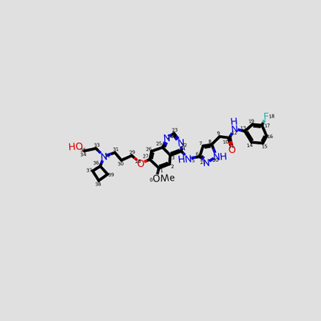 COc1cc2c(Nc3cc(CC(=O)Nc4cccc(F)c4)[nH]n3)ncnc2cc1OCCCN(CCO)C1CCC1